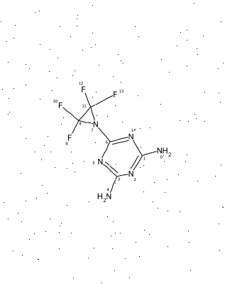 Nc1nc(N)nc(N2C(F)(F)C2(F)F)n1